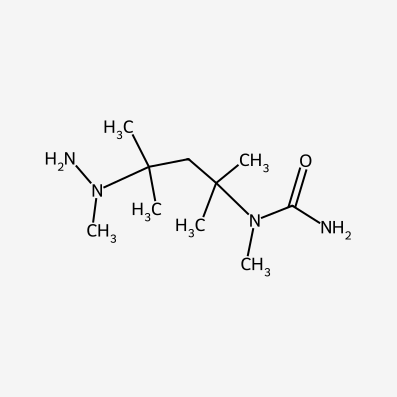 CN(N)C(C)(C)CC(C)(C)N(C)C(N)=O